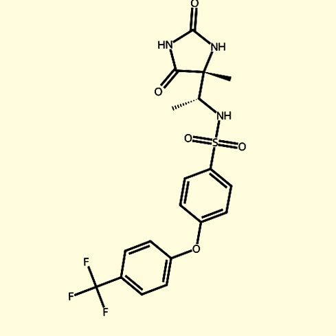 C[C@@H](NS(=O)(=O)c1ccc(Oc2ccc(C(F)(F)F)cc2)cc1)[C@@]1(C)NC(=O)NC1=O